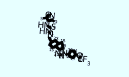 Cc1noc(C)c1NC(=S)NN=Cc1ccc2c(ccc3c2nnn3-c2ccc(OC(F)(F)F)cc2)c1